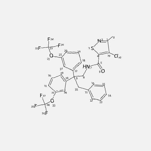 Cc1nsc(C(=O)NCC(Cc2ccccc2)(c2cccc(OC(F)(F)F)c2)c2cccc(OC(F)(F)F)c2)c1Cl